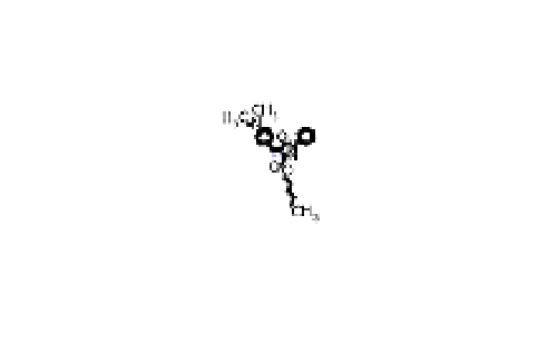 CCCCCCOC(=O)C1=NN(c2ccccc2)C(=O)/C1=C\c1ccc(N(CC)CC)cc1